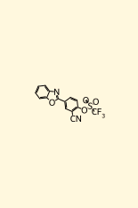 N#Cc1cc(-c2nc3ccccc3o2)ccc1OS(=O)(=O)C(F)(F)F